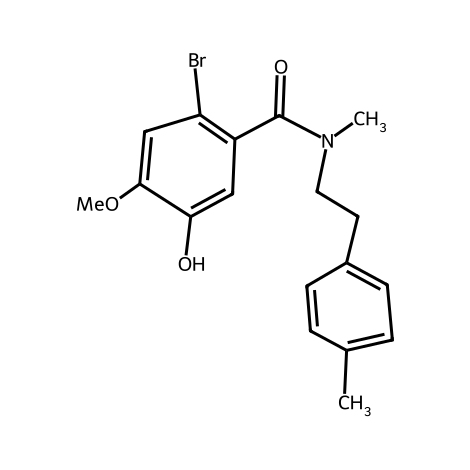 COc1cc(Br)c(C(=O)N(C)CCc2ccc(C)cc2)cc1O